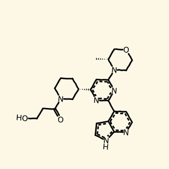 C[C@@H]1COCCN1c1cc([C@H]2CCCN(C(=O)CCO)C2)nc(-c2ccnc3[nH]ccc23)n1